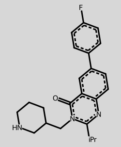 CC(C)c1nc2ccc(-c3ccc(F)cc3)cc2c(=O)n1CC1CCCNC1